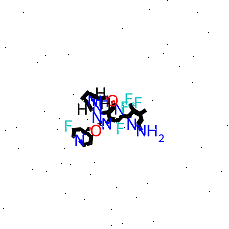 Cc1cc(N)nc(-c2nc3c4c(nc(OC[C@@]56CCCN5C[C@H](F)C6)nc4c2F)N2C[C@@H]4CC[C@@H](N4)[C@H]2CO3)c1C(F)(F)F